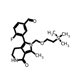 Cc1c2c(c(-c3cc(C=O)ccc3F)n1COCC[Si](C)(C)C)CCNC2=O